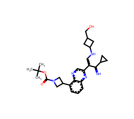 CC(C)(C)OC(=O)N1CC(c2cccc3nc(/C(=C/NC4CC(CO)C4)C(=N)C4CC4)cnc23)C1